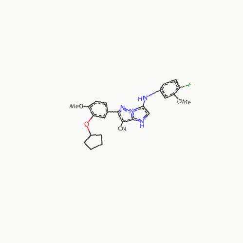 COc1cc(Nc2c[nH]c3c(C#N)c(-c4ccc(OC)c(OC5CCCC5)c4)nn23)ccc1F